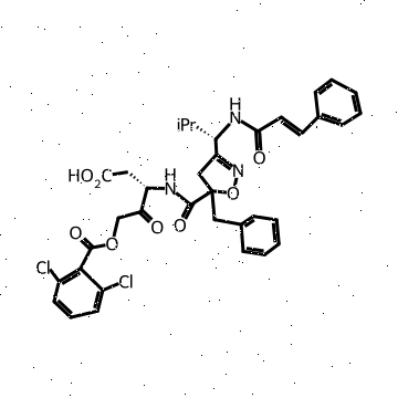 CC(C)[C@H](NC(=O)/C=C/c1ccccc1)C1=NOC(Cc2ccccc2)(C(=O)N[C@@H](CC(=O)O)C(=O)COC(=O)c2c(Cl)cccc2Cl)C1